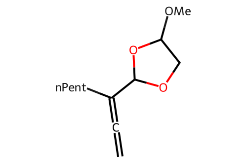 C=C=C(CCCCC)C1OCC(OC)O1